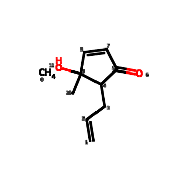 C.C=CCC1C(=O)C=CC1(C)O